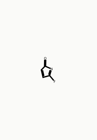 O=C1C=CC(F)=N1